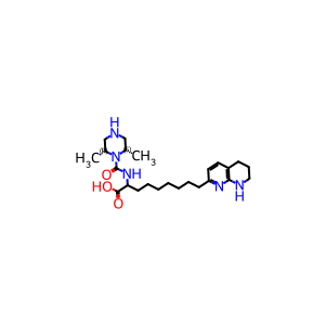 C[C@@H]1CNC[C@H](C)N1C(=O)NC(CCCCCCCc1ccc2c(n1)NCCC2)C(=O)O